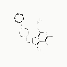 CC1=C(C)C2=C(N)[C@@](C)(CN3CCC(c4ccccc4)CC3)CC2=C(C)O1.Cl.Cl